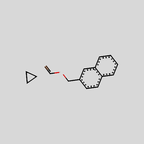 C1CC1.S=COCc1ccc2ccccc2c1